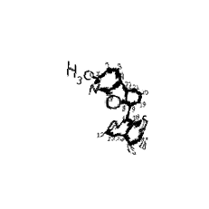 Cc1ccc2c(n1)oc1c(-c3nccc4ccsc34)cccc12